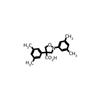 Cc1cc(C)cc(N2CC(C(=O)O)(c3cc(C)cc(C)c3)CO2)c1